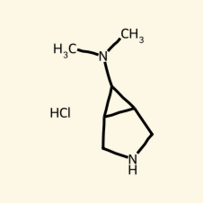 CN(C)C1C2CNCC21.Cl